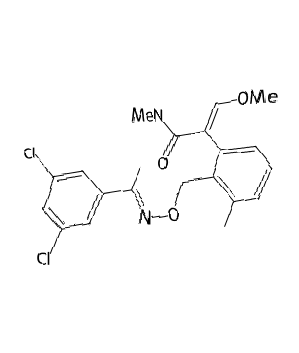 CNC(=O)/C(=C/OC)c1cccc(C)c1CO/N=C(\C)c1cc(Cl)cc(Cl)c1